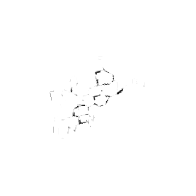 Cn1nc(N)c2c(Cl)ccc(-c3ccc(C#CC(C)(C)C)nc3[C@H](Cc3cc(F)cc(F)c3)NC(=O)C(F)(F)F)c21